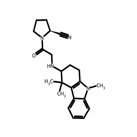 Cn1c2c(c3ccccc31)C(C)(C)C(NCC(=O)N1CCC[C@H]1C#N)CC2